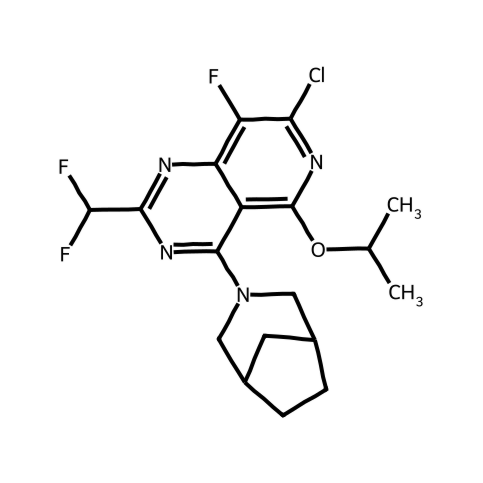 CC(C)Oc1nc(Cl)c(F)c2nc(C(F)F)nc(N3CC4CCC(C4)C3)c12